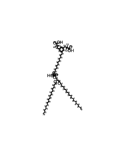 CCCCCCCCCCCCCCCCCCOCC(COP(=O)(O)OCCCCCCCCCCCc1cc(CC(C)(C)C(=O)O)cc(CC(C)(C)C(=O)O)c1)OCCCCCCCCCCCCCCCCCC